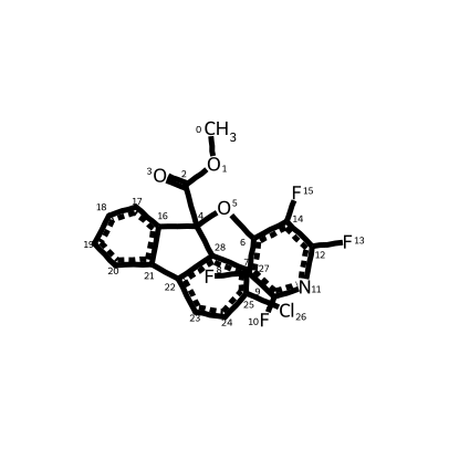 COC(=O)C1(Oc2c(F)c(F)nc(F)c2F)c2ccccc2-c2ccc(Cl)cc21